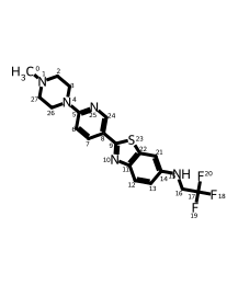 CN1CCN(c2ccc(-c3nc4ccc(NCC(F)(F)F)cc4s3)cn2)CC1